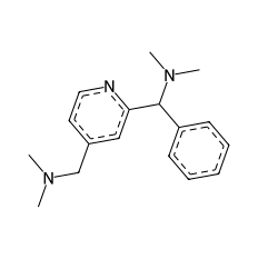 CN(C)Cc1ccnc(C(c2ccccc2)N(C)C)c1